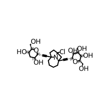 OC[C@H]1O[C@H](C#CC23CCCCC4(C#C[C@H]5O[C@H](CO)[C@@H](O)C[C@@H]5O)CCC(Cl)(C2)N43)[C@@H](O)[C@@H](O)[C@@H]1O